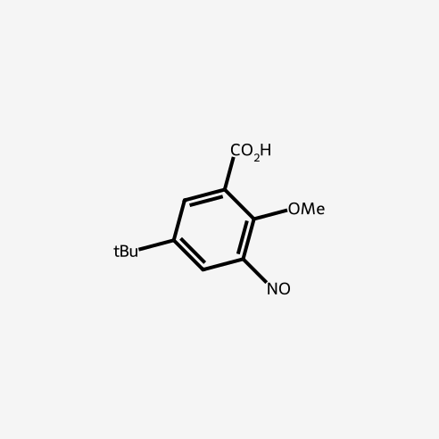 COc1c(N=O)cc(C(C)(C)C)cc1C(=O)O